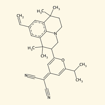 C=Cc1cc2c3c(c1)C(C)(C)C(C1=CC(=C(C#N)C#N)C=C(C(C)C)O1)CN3CCC2(C)C